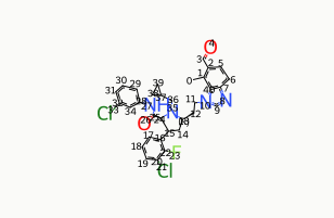 Cc1c(C=O)ccc2ncn(CC[C@H]3CC(c4cccc(Cl)c4F)C(C(=O)Nc4cccc(Cl)c4)N3CC3CC3)c12